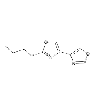 CCCCc1nc(-c2cocn2)co1